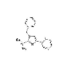 CC(C)(C)[C@@H](N)c1nc(-c2cnccn2)cn1Cc1ccccc1